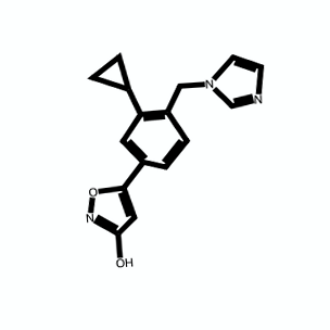 Oc1cc(-c2ccc(Cn3ccnc3)c(C3CC3)c2)on1